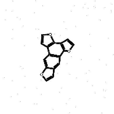 c1cc2cc3c(cc2o1)c1ccoc1c1ccoc31